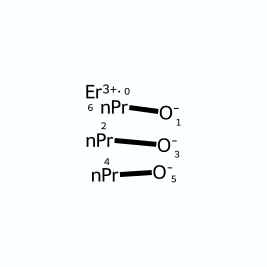 CCC[O-].CCC[O-].CCC[O-].[Er+3]